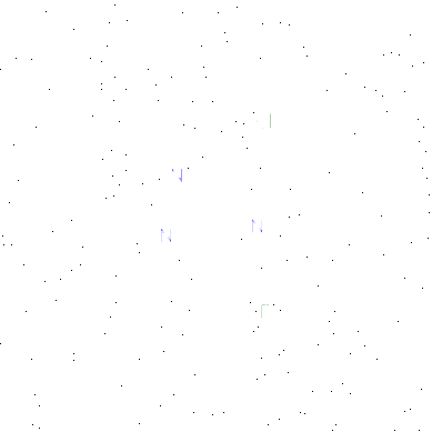 Fc1[c]nnc(Cl)n1